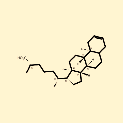 C[C@H](CCC[C@H](C)C(=O)O)[C@H]1CC[C@H]2[C@@H]3CCC4CC=CC[C@]4(C)[C@H]3CC[C@]12C